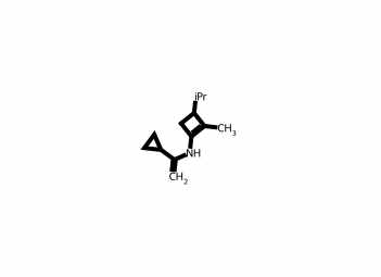 C=C(NC1=C(C)C(C(C)C)C1)C1CC1